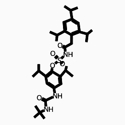 CC(C)c1cc(C(C)C)c(CC(=O)NS(=O)(=O)Oc2c(C(C)C)cc(NC(=O)NC(C)(C)C)cc2C(C)C)c(C(C)C)c1